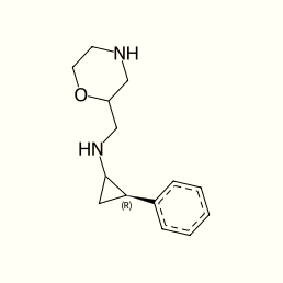 c1ccc([C@H]2CC2NCC2CNCCO2)cc1